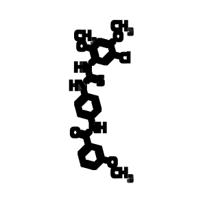 COc1cccc(C(=O)Nc2ccc(NC(=S)Nc3cc(Cl)c(OC)cc3OC)cc2)c1